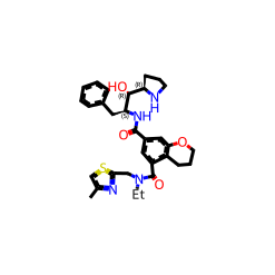 CCN(Cc1nc(C)cs1)C(=O)c1cc(C(=O)N[C@@H](Cc2ccccc2)[C@H](O)[C@H]2CCCN2)cc2c1CCCO2